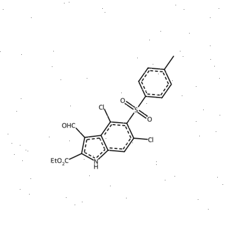 CCOC(=O)c1[nH]c2cc(Cl)c(S(=O)(=O)c3ccc(C)cc3)c(Cl)c2c1C=O